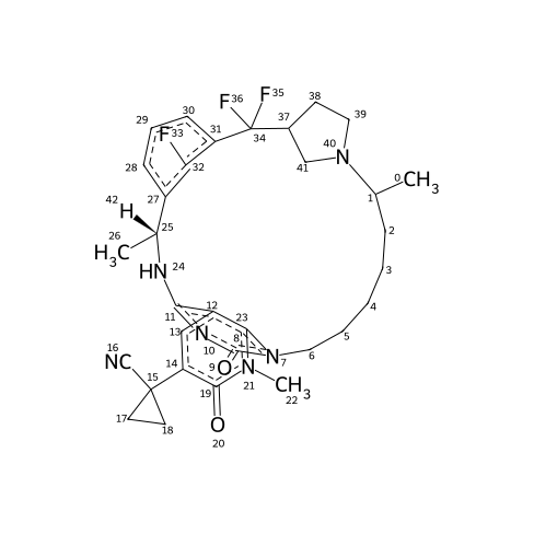 CC1CCCCCn2c(=O)nc(c3cc(C4(C#N)CC4)c(=O)n(C)c32)N[C@H](C)c2cccc(c2F)C(F)(F)C2CCN1C2